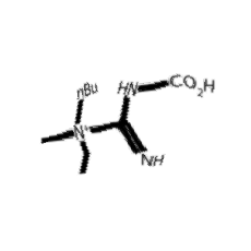 CCCC[N+](C)(C)C(=N)NC(=O)O